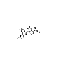 Cc1nc(NC2CNCC2c2cccc(F)c2)c2cccc(C(N)=O)c2n1